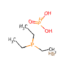 Br.CCP(CC)CC.O=[PH](O)O